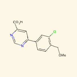 COCc1ccc(-c2cc(C(=O)O)ncn2)cc1Cl